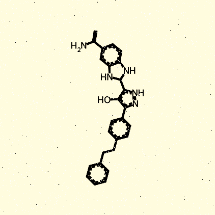 C=C(N)c1ccc2c(c1)NC(c1[nH]nc(-c3ccc(CCc4ccccc4)cc3)c1O)N2